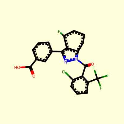 O=C(O)c1cccc(-c2nn(C(=O)c3c(Cl)cccc3C(F)(F)F)c3cccc(F)c23)c1